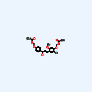 CCc1cc(C=CC(=O)c2ccc(OCOC(=O)C(C)(C)C)cc2)c(OC(C)C)cc1OCOC(=O)C(C)(C)C